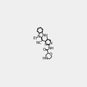 CCN1/C(=C(\C#N)c2nc(NC(=O)C3CNCCO3)ncc2C)Nc2ccccc21